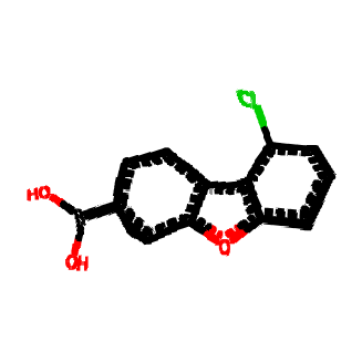 OB(O)c1ccc2c(c1)oc1cccc(Cl)c12